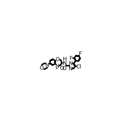 CN1C(=O)[C@@H](NC(=O)c2ncc(Cl)c(-c3ccc(F)cc3F)n2)COc2ccc(N3CCOCC3)cc21